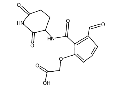 O=Cc1cccc(OCC(=O)O)c1C(=O)NC1CCC(=O)NC1=O